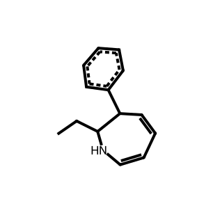 CCC1NC=CC=CC1c1ccccc1